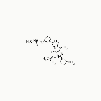 CNC(=O)COc1cccc(C(=O)Cn2c(=O)c3c(nc(N4CCCC(N)C4)n3CC=C(C)C)n(C)c2=O)c1